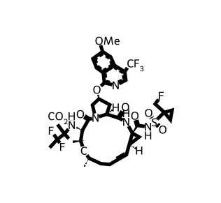 COc1ccc2c(O[C@@H]3C[C@H]4C(=O)N[C@]5(C(=O)NS(=O)(=O)C6(CF)CC6)C[C@H]5/C=C\CC[C@H](C)C[C@@H](C)[C@H](N(C(=O)O)C(C)(C)C(C)(F)F)C(=O)N4C3)ncc(C(F)(F)F)c2c1